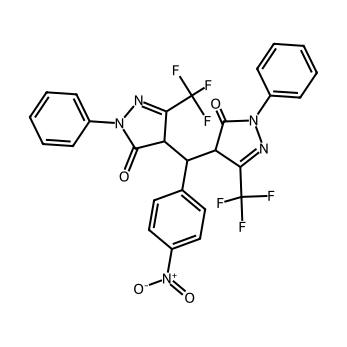 O=C1C(C(c2ccc([N+](=O)[O-])cc2)C2C(=O)N(c3ccccc3)N=C2C(F)(F)F)C(C(F)(F)F)=NN1c1ccccc1